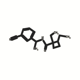 CCC1CCC1(CC)C(=O)NC(N)c1cccc(C#N)c1